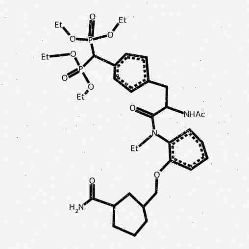 CCOP(=O)(OCC)C(c1ccc(CC(NC(C)=O)C(=O)N(CC)c2ccccc2OCC2CCCC(C(N)=O)C2)cc1)P(=O)(OCC)OCC